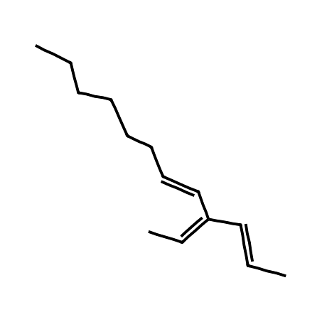 CC=CC(C=CCCCCCC)=CC